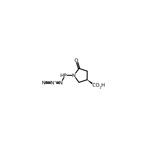 [N-]=[N+]=NPN1C[C@H](C(=O)O)CC1=O